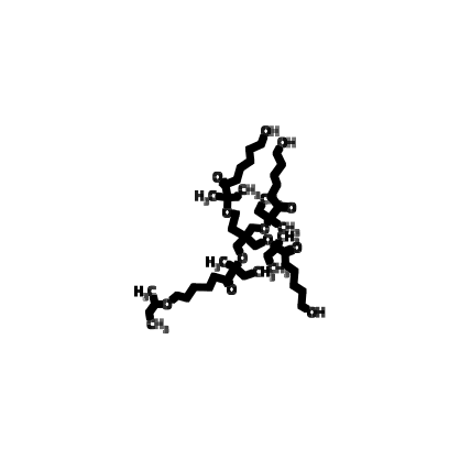 CCC(C)OCCCCCC(=O)C(C)(CC)OCC(CCOC(C)(CC)C(=O)CCCCCO)(COC(C)(CC)C(=O)CCCCCO)COC(C)(CC)C(=O)CCCCCO